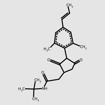 C/C=C/c1cc(C)c(C2C(=O)CC(CC(=O)NC(C)(C)C)C2=O)c(C)c1